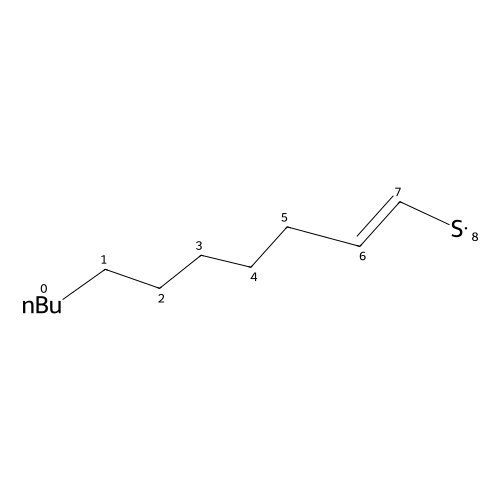 CCCCCCCCCC=C[S]